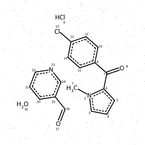 Cl.Cn1c[c]cc1C(=O)c1ccc(Cl)cc1.O.O=Cc1cccnc1